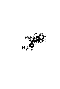 CCN(CC)Cc1c2c(nc3cc(F)c(C)cc13)-c1cc3c(c(=O)n1C2)COC(=O)CC3(O)CC